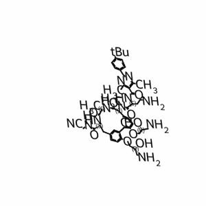 Cc1nc(-c2ccc(C(C)(C)C)cc2)nc(C)c1C(=O)N[C@@H](CCN)C(=O)N(C)[C@@H]1C(=O)N[C@@H](C)C(=O)N[C@H](C(=O)NCC#N)Cc2ccc(OC[C@H](O)CN)c(c2)-c2cc1ccc2OC[C@H](O)CN